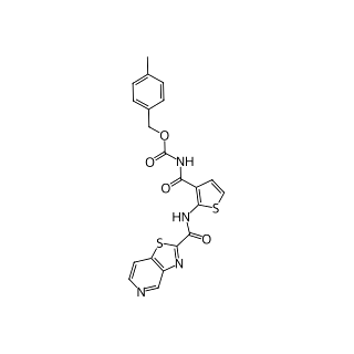 Cc1ccc(COC(=O)NC(=O)c2ccsc2NC(=O)c2nc3cnccc3s2)cc1